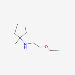 [CH2][CH]OCCNC(C)(CC)CC